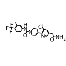 Cc1cc(NC(=O)N2CC=C(c3ncc(CC(N)=O)cc3Cl)CC2)ccc1C(F)(F)F